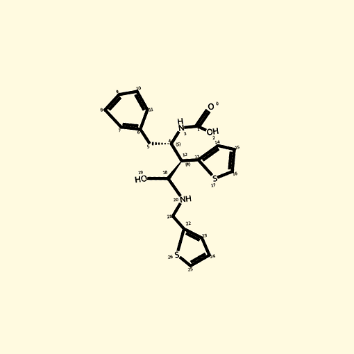 O=C(O)N[C@@H](Cc1ccccc1)[C@@H](c1cccs1)C(O)NCc1cccs1